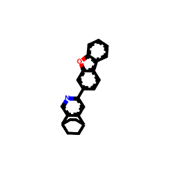 c1ccc2c(c1)oc1cc(-c3cc4c(cn3)C3CCC4CC3)ccc12